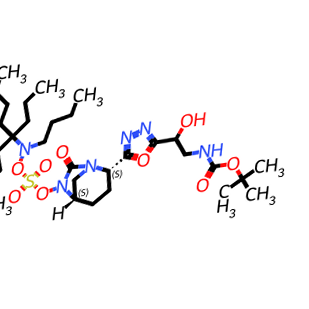 CCCCN(OS(=O)(=O)ON1C(=O)N2C[C@@H]1CC[C@H]2c1nnc(C(O)CNC(=O)OC(C)(C)C)o1)C(CCC)(CCCC)CCCC